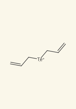 C=CC[Te+]CC=C